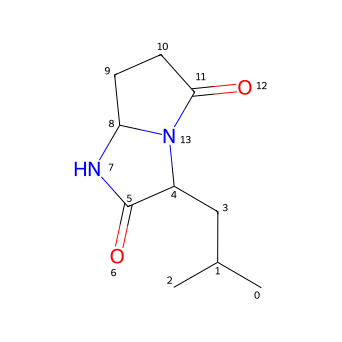 CC(C)CC1C(=O)NC2CCC(=O)N21